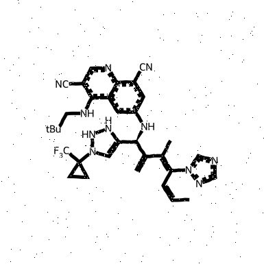 C=C(/C(C)=C(\C=C/C)n1cncn1)[C@H](Nc1cc(C#N)c2ncc(C#N)c(NCC(C)(C)C)c2c1)C1=CN(C2(C(F)(F)F)CC2)NN1